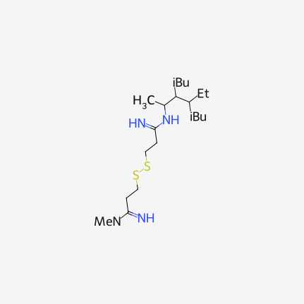 CCC(C)C(CC)C(C(C)CC)C(C)NC(=N)CCSSCCC(=N)NC